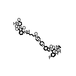 O=C1CCC(N2C(=O)c3cccc(NCCCCCC(=O)N4CCN(C5CCN(c6ccc7c(c6)C(=O)N(C(C(=O)Nc6nccs6)c6cc(F)ccc6O)C7)CC5)CC4)c3C2=O)C(=O)N1